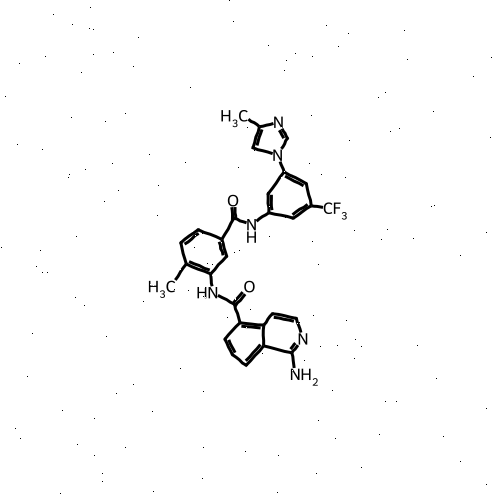 Cc1cn(-c2cc(NC(=O)c3ccc(C)c(NC(=O)c4cccc5c(N)nccc45)c3)cc(C(F)(F)F)c2)cn1